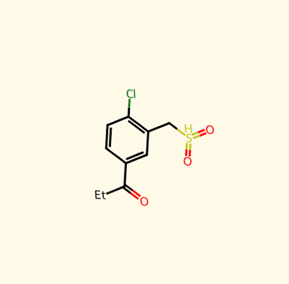 CCC(=O)c1ccc(Cl)c(C[SH](=O)=O)c1